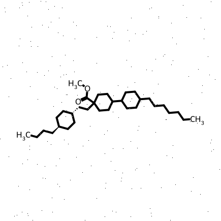 CCCCCCCC1CCC(C2CCC(CC[C@H]3CC[C@H](CCCC)CC3)(C(=O)OC)CC2)CC1